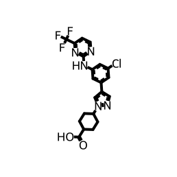 O=C(O)C1CCC(n2cc(-c3cc(Cl)cc(Nc4nccc(C(F)(F)F)n4)c3)cn2)CC1